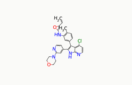 C=CC1OC1Nc1cc(-c2c(-c3ccnc(N4CCOCC4)c3)[nH]c3nccc(Cl)c23)ccc1C